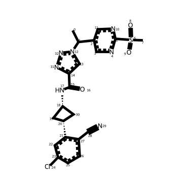 CC(c1cnc(S(C)(=O)=O)nc1)n1cc(C(=O)N[C@H]2C[C@@H](c3cc(Cl)ccc3C#N)C2)nn1